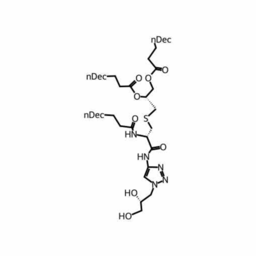 CCCCCCCCCCCCC(=O)N[C@H](CSC[C@@H](COC(=O)CCCCCCCCCCCC)OC(=O)CCCCCCCCCCCC)C(=O)Nc1cn(C[C@@H](O)CO)nn1